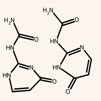 NC(=O)Nc1nc(=O)cc[nH]1.NC(=O)Nc1nccc(=O)[nH]1